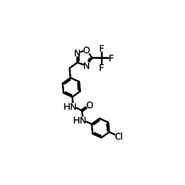 O=C(Nc1ccc(Cl)cc1)Nc1ccc(Cc2noc(C(F)(F)F)n2)cc1